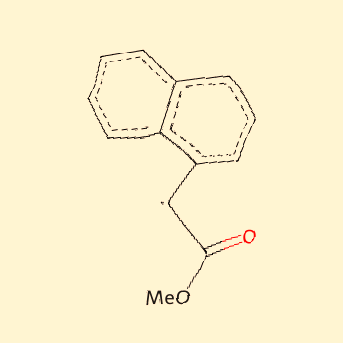 COC(=O)[CH]c1cccc2ccccc12